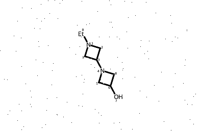 CCN1CC(N2CC(O)C2)C1